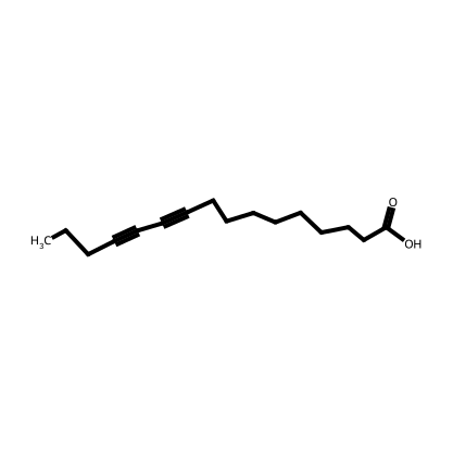 CCCC#CC#CCCCCCCCCC(=O)O